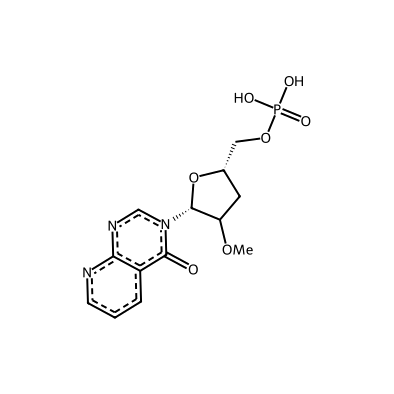 COC1C[C@@H](COP(=O)(O)O)O[C@H]1n1cnc2ncccc2c1=O